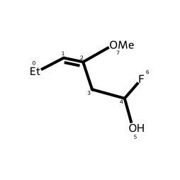 CC/C=C(\CC(O)F)OC